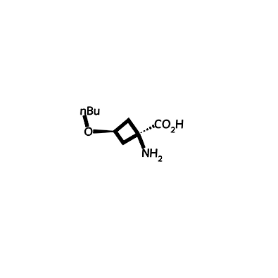 CCCCO[C@H]1C[C@](N)(C(=O)O)C1